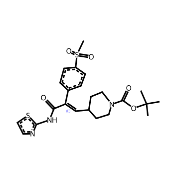 CC(C)(C)OC(=O)N1CCC(/C=C(/C(=O)Nc2nccs2)c2ccc(S(C)(=O)=O)cc2)CC1